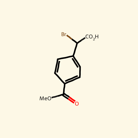 COC(=O)c1ccc(C(Br)C(=O)O)cc1